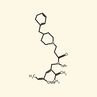 C=C(C)/C(=C\C(=C/C)OC)CN(CCC)C(=O)CCN1CCC(CC2=CC=CCC2)CC1